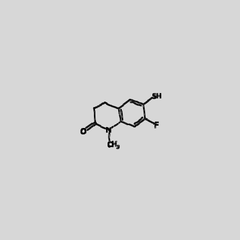 CN1C(=O)CCc2cc(S)c(F)cc21